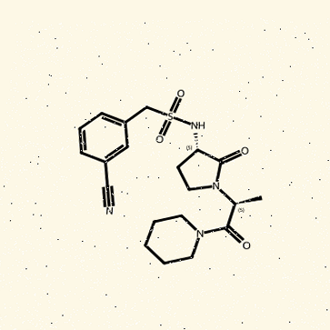 C[C@@H](C(=O)N1CCCCC1)N1CC[C@H](NS(=O)(=O)Cc2cccc(C#N)c2)C1=O